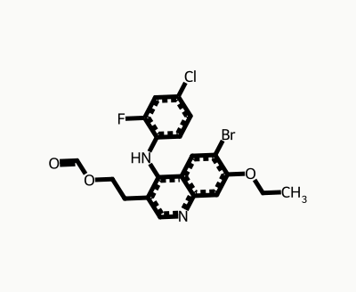 CCOc1cc2ncc(CCOC=O)c(Nc3ccc(Cl)cc3F)c2cc1Br